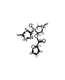 Cc1nnc([N+]2([O-])CN(C)CC2OC(=O)c2ccco2)s1